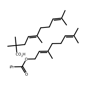 CC(C)=CCC/C(C)=C/CC(C)(C)C(=O)O.CC(C)=CCC/C(C)=C/COC(=O)C(C)C